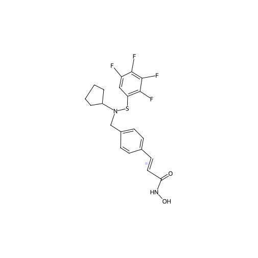 O=C(/C=C/c1ccc(CN(Sc2cc(F)c(F)c(F)c2F)C2CCCC2)cc1)NO